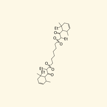 CCC(C(=O)C1C(C)C=CCC1(C)CC)S(=O)(=O)CCCCCCS(=O)(=O)C(CC)C(=O)C1C(C)C=CCC1(C)CC